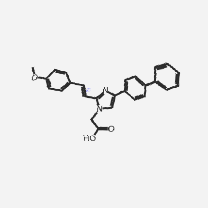 COc1ccc(/C=C/c2nc(-c3ccc(-c4ccccc4)cc3)cn2CC(=O)O)cc1